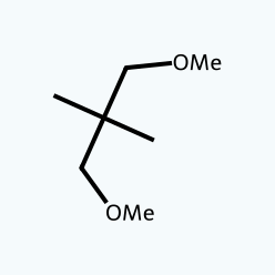 COCC(C)(C)COC